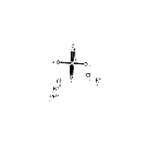 O=S(=O)([O-])[O-].[Ba+2].[Cl-].[Cl-].[K+].[K+]